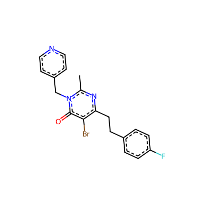 Cc1nc(CCc2ccc(F)cc2)c(Br)c(=O)n1Cc1ccncc1